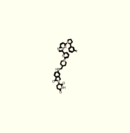 O=C1CCC(N2Cc3cc(NCC4CCN(c5cccc(-c6cnc7ccc(N8CCCC8c8cccc(F)c8)nn67)n5)CC4)ccc3C2=O)C(=O)N1